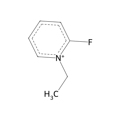 CC[n+]1ccccc1F